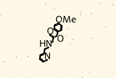 COc1ccc2c(=O)c(CNCCc3ccccn3)coc2c1